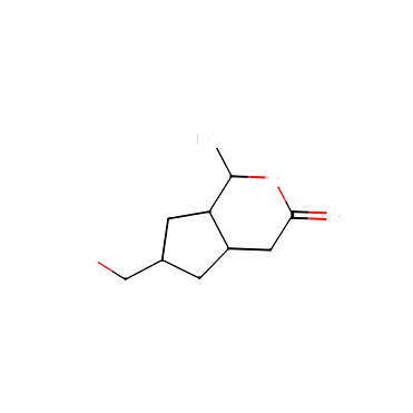 CC1OC(=O)CC2CC(CO)CC21